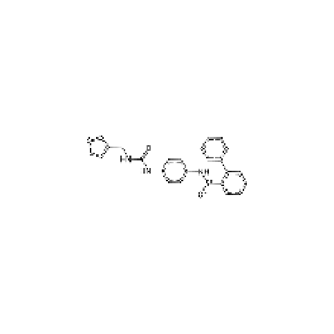 O=C(NCc1ccsc1)Nc1ccc(N[S+]([O-])c2ccccc2-c2ccccc2)cc1